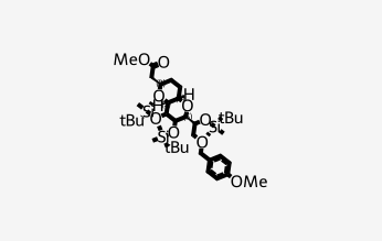 COC(=O)C[C@H]1CC[C@@H]2O[C@@H](C(COCc3ccc(OC)cc3)O[Si](C)(C)C(C)(C)C)C(O[Si](C)(C)C(C)(C)C)C(O[Si](C)(C)C(C)(C)C)[C@H]2O1